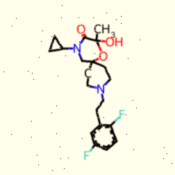 CC1(O)OC2(CCN(CCc3cc(F)ccc3F)CC2)CN(C2CC2)C1=O